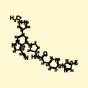 Cn1cc(-c2cc(N3CC[C@@H](NC(=O)Cc4ccc(-n5cc(F)cn5)nc4)C3)c3c(C#N)cnn3c2)cn1